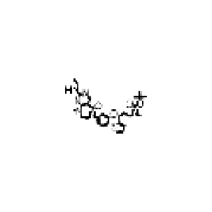 CCNc1ncc2c(n1)N(C)CCN(c1cccc(OC(CCN(C)C(=O)OC(C)(C)C)c3cccs3)c1)C2=O